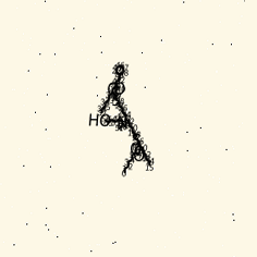 CCCCCCC(=O)OC(CCCCCC)CSCCCCCC(CCCCCSCC(CCCCCC)OC(=O)CCC1CCCCC1)N(CC)CCCCO